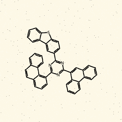 c1ccc2c(c1)cc(-c1nc(-c3ccc4sc5ccccc5c4c3)nc(-c3cccc4ccc5ccccc5c34)n1)c1ccccc12